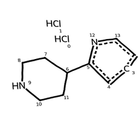 Cl.Cl.c1ccc(C2CCNCC2)nc1